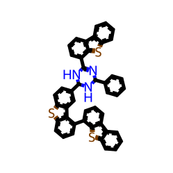 c1ccc(C2N=C(c3cccc4c3sc3ccccc34)NC(c3ccc4sc5cccc(-c6cccc7c6sc6ccccc67)c5c4c3)N2)cc1